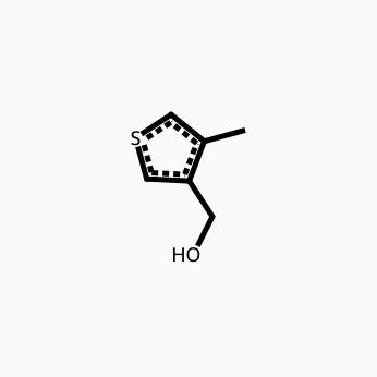 Cc1cscc1CO